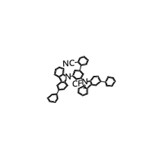 N#Cc1ccccc1-c1cc(-n2c3ccccc3c3cc(-c4ccccc4)ccc32)c(C(F)(F)F)c(-n2c3ccccc3c3cc(-c4ccccc4)ccc32)c1